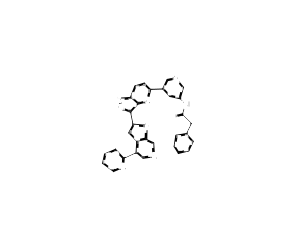 O=C(Cc1ccccc1)Nc1cncc(-c2ccc3[nH]nc(-c4cc5c(-c6ccccn6)cncc5[nH]4)c3n2)c1